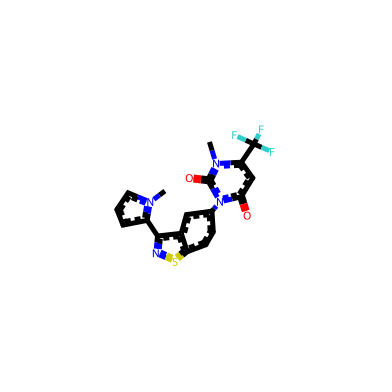 Cn1cccc1-c1nsc2ccc(-n3c(=O)cc(C(F)(F)F)n(C)c3=O)cc12